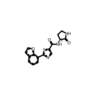 O=C(N[C@H]1CCNC1=O)c1cnc(-c2cccc3ccoc23)s1